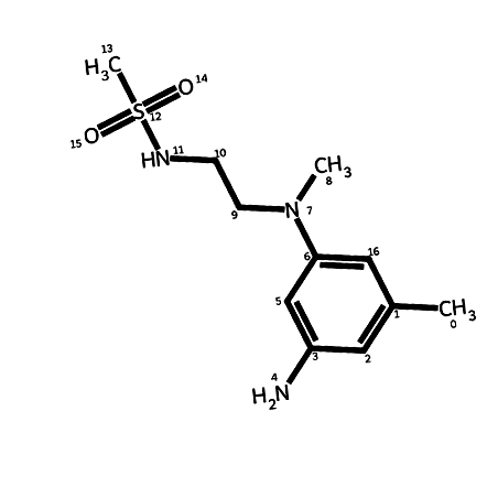 Cc1cc(N)cc(N(C)CCNS(C)(=O)=O)c1